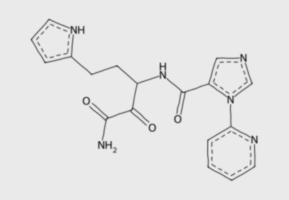 NC(=O)C(=O)C(CCc1ccc[nH]1)NC(=O)c1cncn1-c1ccccn1